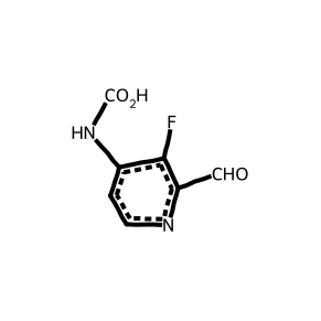 O=Cc1nccc(NC(=O)O)c1F